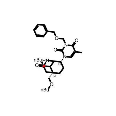 CCCCOC[C@]12CC[C@@H](n3cc(C)c(=O)n(COCc4ccccc4)c3=O)C(NC(=O)C1)C2OCCCC